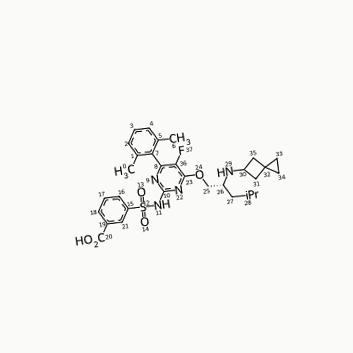 Cc1cccc(C)c1-c1nc(NS(=O)(=O)c2cccc(C(=O)O)c2)nc(OC[C@@H](CC(C)C)NC2CC3(CC3)C2)c1F